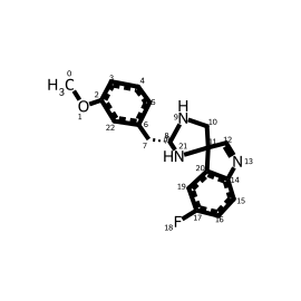 COc1cccc(C[C@@H]2NCC3(C=Nc4ccc(F)cc43)N2)c1